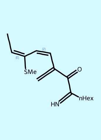 C=C(/C=C\C(=C/C)SC)C(=O)C(=N)CCCCCC